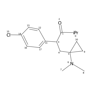 CC(C)C(=O)C(CC1(N(C)C)CC1)c1ccc(Cl)cc1